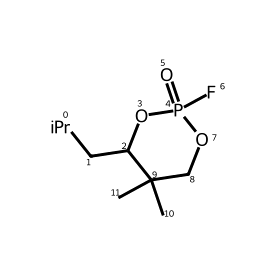 CC(C)CC1OP(=O)(F)OCC1(C)C